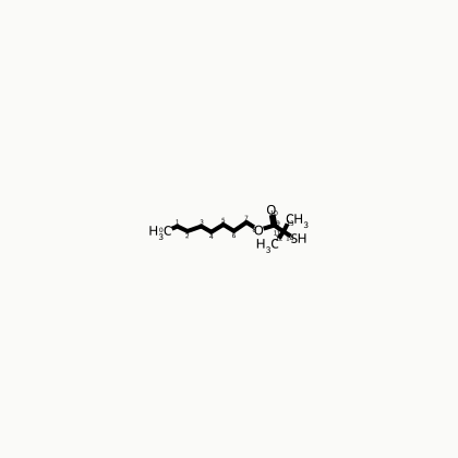 CCCCCCCCOC(=O)C(C)(C)S